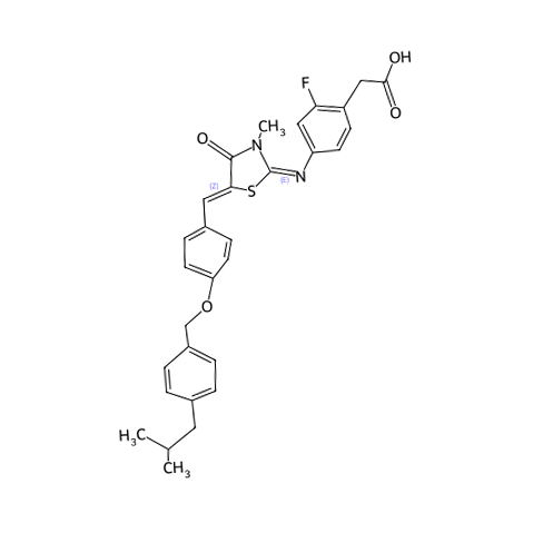 CC(C)Cc1ccc(COc2ccc(/C=C3\S/C(=N/c4ccc(CC(=O)O)c(F)c4)N(C)C3=O)cc2)cc1